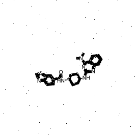 CN(C)c1nc(N[C@H]2CC[C@@H](NC(=O)c3ccc4ncsc4c3)CC2)nc2ccccc12